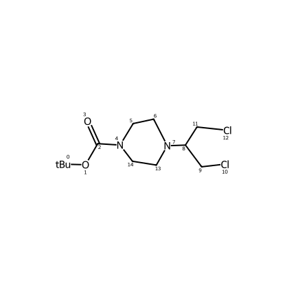 CC(C)(C)OC(=O)N1CCN(C(CCl)CCl)CC1